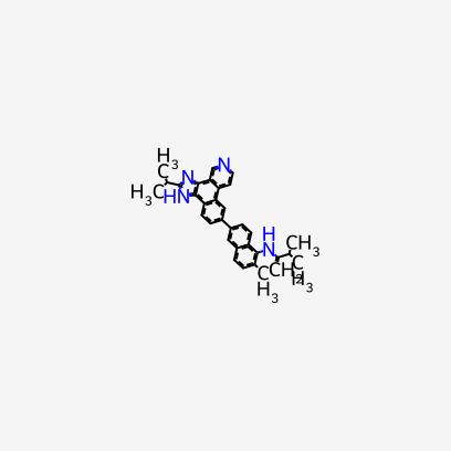 C=C(Nc1c(C)ccc2cc(-c3ccc4c(c3)c3ccncc3c3nc(C(C)C)[nH]c43)ccc12)C(C)C